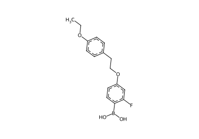 CCOc1ccc(CCOc2ccc(B(O)O)c(F)c2)cc1